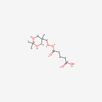 CC1(COOC(=O)CCCC(=O)O)COC(C)(C)OC1